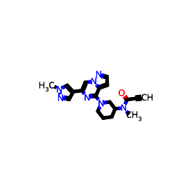 C#CC(=O)N(C)C1CCCN(c2nc(-c3cnn(C)c3)cn3nccc23)C1